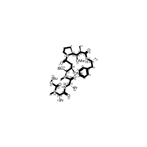 CC[C@H](C)[C@@H]([C@@H](CC(=O)N1CCC[C@H]1[C@H](OC)[C@@H](C)C(=O)N[C@H](C)[CH]c1ccccc1)OC)N(C)C(=O)[C@@H](NC(=O)[C@H](C(C)C)N(C)C(=O)OC(C)(C)C)C(C)C